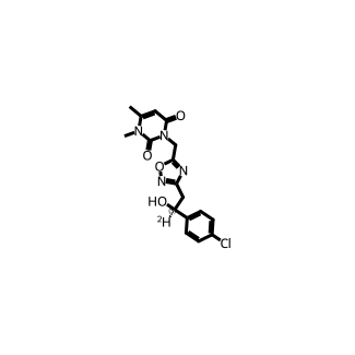 [2H][C@](O)(Cc1noc(Cn2c(=O)cc(C)n(C)c2=O)n1)c1ccc(Cl)cc1